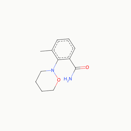 Cc1cccc(C(N)=O)c1N1CCCCO1